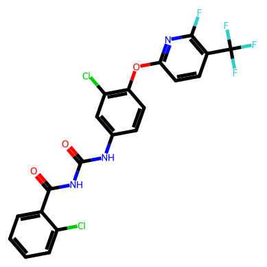 O=C(NC(=O)c1ccccc1Cl)Nc1ccc(Oc2ccc(C(F)(F)F)c(F)n2)c(Cl)c1